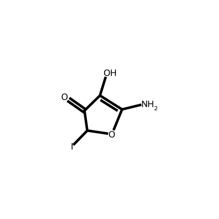 NC1=C(O)C(=O)C(I)O1